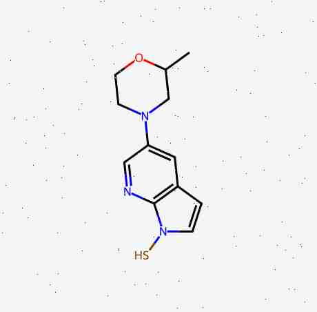 CC1CN(c2cnc3c(ccn3S)c2)CCO1